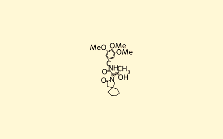 COc1cc(CNC(=O)[C@H]([C@@H](C)O)N2CC3(CCCCC3)CC2=O)cc(OC)c1OC